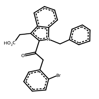 O=C(O)Cc1c(C(=O)Cc2ccccc2Br)n(Cc2ccccc2)c2ccccc12